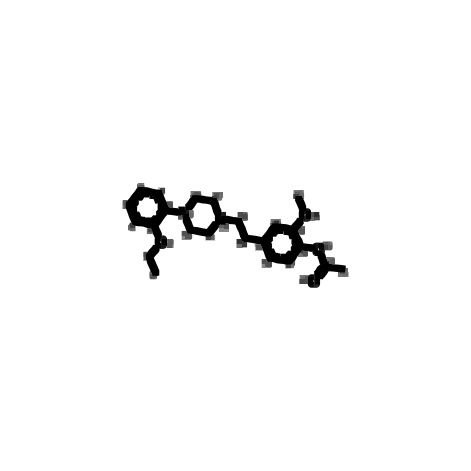 CCOc1ccccc1N1CCN(CCc2ccc(OC(C)=O)c(OC)c2)CC1